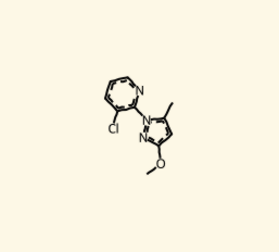 COc1cc(C)n(-c2ncccc2Cl)n1